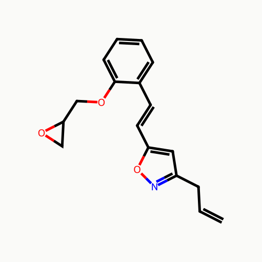 C=CCc1cc(/C=C/c2ccccc2OCC2CO2)on1